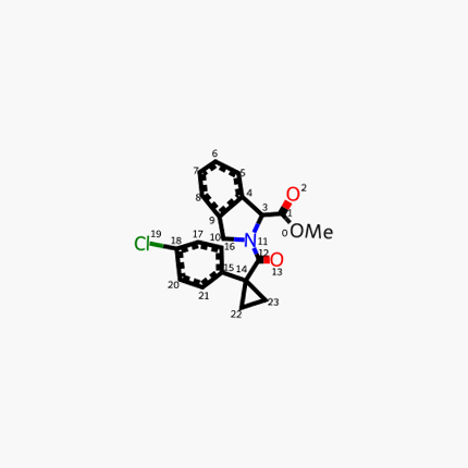 COC(=O)C1c2ccccc2CN1C(=O)C1(c2ccc(Cl)cc2)CC1